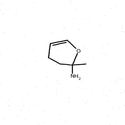 CC1(N)CCC=CO1